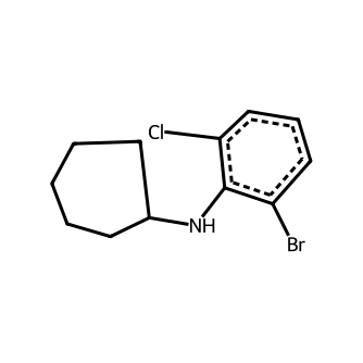 Clc1cccc(Br)c1NC1CCCCC1